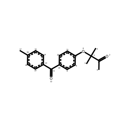 CC(=O)C(C)(C)Oc1ccc(C(=O)c2ccc(C)cc2)cc1